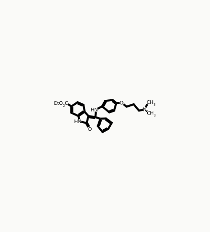 CCOC(=O)c1ccc2c(c1)NC(=O)C2=C(Nc1ccc(OCCCN(C)C)cc1)c1ccccc1